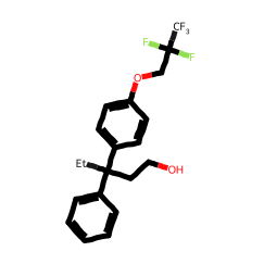 CCC(CCO)(c1ccccc1)c1ccc(OCC(F)(F)C(F)(F)F)cc1